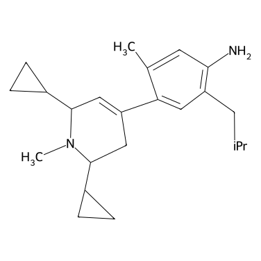 Cc1cc(N)c(CC(C)C)cc1C1=CC(C2CC2)N(C)C(C2CC2)C1